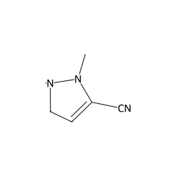 CN1[N]CC=C1C#N